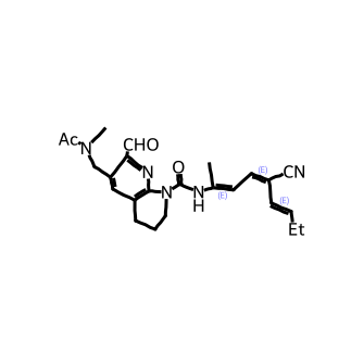 CC/C=C/C(C#N)=C\C=C(/C)NC(=O)N1CCCc2cc(CN(C)C(C)=O)c(C=O)nc21